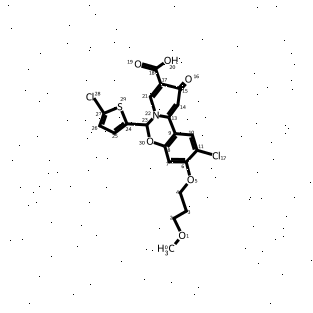 COCCCOc1cc2c(cc1Cl)-c1cc(=O)c(C(=O)O)cn1C(c1ccc(Cl)s1)O2